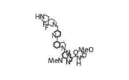 CNc1cc(N2CCc3c(-c4ccc(CN5CCC6(CCNCC6)C(F)(F)C5)cn4)cccc32)nn2c(C(=O)N[C@@H]3CC[C@H]3OC)cnc12